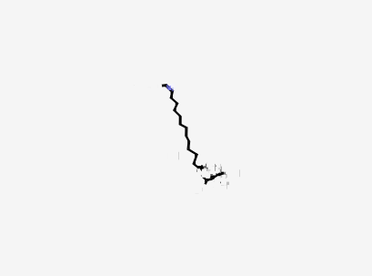 CCCCCCCC/C=C\CCCCCCCCCCCC(=O)NC(CC)C(C)(C)C(C)(N)O.Cl